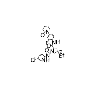 CCO[C@@H]1C[C@H](C(=O)Nc2ccc(N3CCCCC3=O)cc2F)N(C(=O)Nc2ccc(Cl)cn2)C1